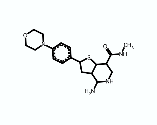 CNC(=O)C1CNC(N)C2CC(c3ccc(N4CCOCC4)cc3)SC12